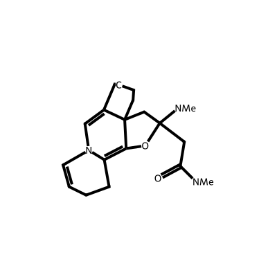 CNC(=O)CC1(NC)CC23CCCCC2=CN2C=CCCC2=C3O1